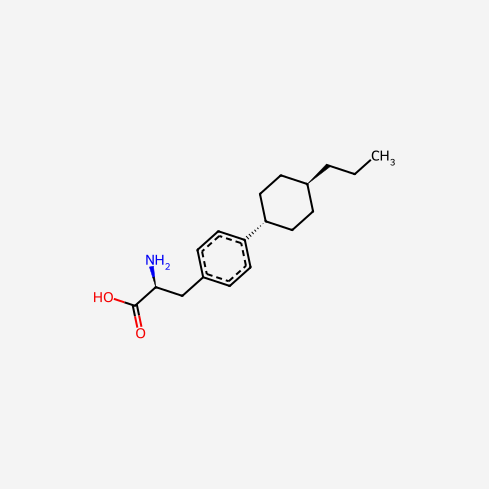 CCC[C@H]1CC[C@H](c2ccc(C[C@H](N)C(=O)O)cc2)CC1